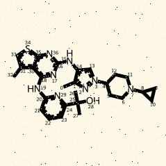 Cc1nn(C2CCN(C3CC3)CC2)cc1Nc1nc(Nc2cccc(C(C)(C)O)n2)c2c(C)csc2n1